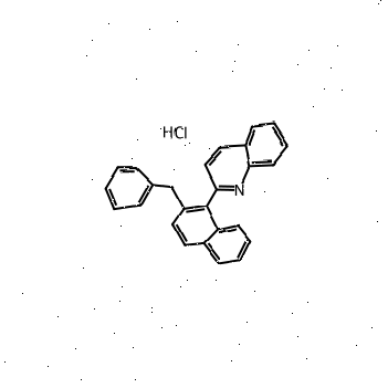 Cl.c1ccc(Cc2ccc3ccccc3c2-c2ccc3ccccc3n2)cc1